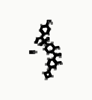 C=CC(c1ccc(C(F)(F)F)cc1)S(=O)(=O)N1CCN(C(=O)c2ccc(N3CCC3)nc2C)C(C)C1.Cl